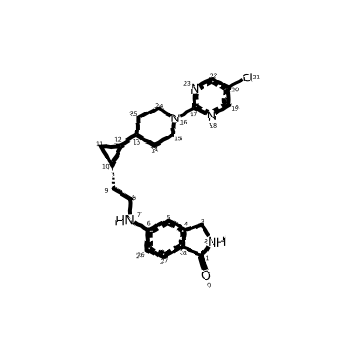 O=C1NCc2cc(NCC[C@@H]3CC3C3CCN(c4ncc(Cl)cn4)CC3)ccc21